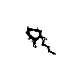 CCCCOc1cccccc1=O